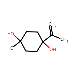 C=C(C)C1(O)CCC(C)(O)CC1